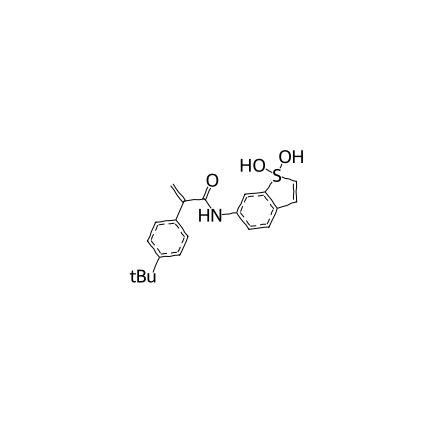 C=C(C(=O)Nc1ccc2c(c1)S(O)(O)C=C2)c1ccc(C(C)(C)C)cc1